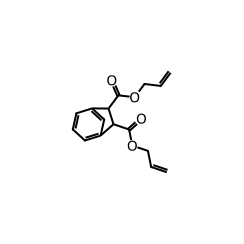 C=CCOC(=O)C1c2cccc(c2)C1C(=O)OCC=C